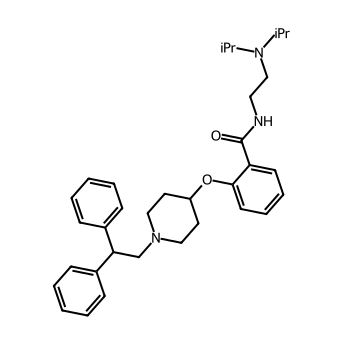 CC(C)N(CCNC(=O)c1ccccc1OC1CCN(CC(c2ccccc2)c2ccccc2)CC1)C(C)C